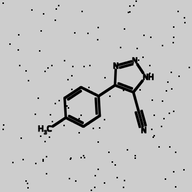 Cc1ccc(-c2nn[nH]c2C#N)cc1